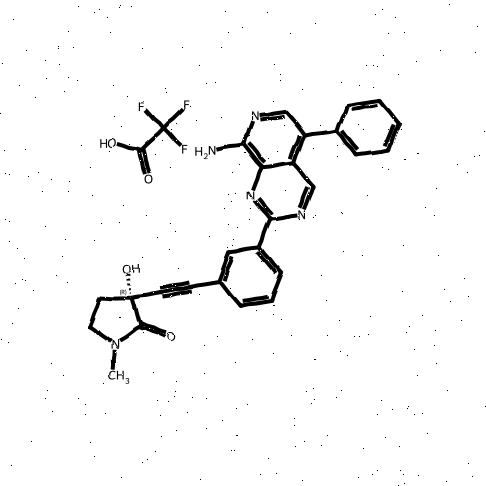 CN1CC[C@@](O)(C#Cc2cccc(-c3ncc4c(-c5ccccc5)cnc(N)c4n3)c2)C1=O.O=C(O)C(F)(F)F